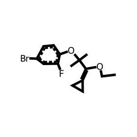 CCOC(=C1CC1)C(C)(C)Oc1ccc(Br)cc1F